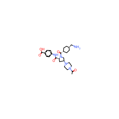 CC(=O)N1CCN([C@H]2C[C@@H](C(=O)Nc3ccc(C(=O)O)cc3)N(C(=O)[C@H]3CC[C@H](CN)CC3)C2)CC1